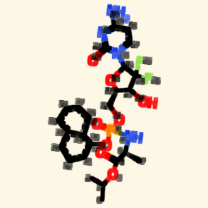 CC(C)OC(=O)[C@H](C)NP(=O)(OC[C@H]1O[C@@H](n2ccc(N)nc2=O)C(F)(F)C1O)Oc1cccc2ccccc12